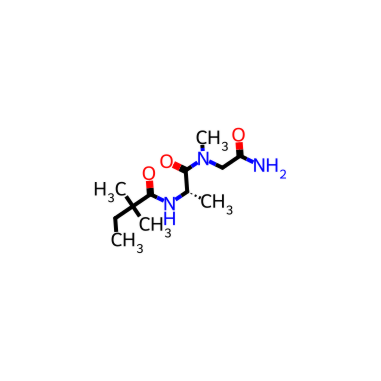 CCC(C)(C)C(=O)N[C@@H](C)C(=O)N(C)CC(N)=O